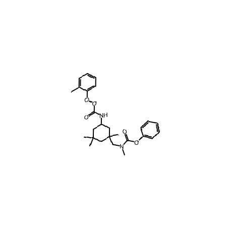 Cc1ccccc1OOC(=O)NC1CC(C)(C)CC(C)(CN(C)C(=O)Oc2ccccc2)C1